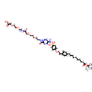 CC(C)(C)OC(=O)CCCCCCCCCc1ccc(CCOc2ccc(S(=O)(=O)Nc3cnc(C(=O)NCCOCCOCC(=O)NCCOCCOCC(=O)O)nc3)cc2)cc1